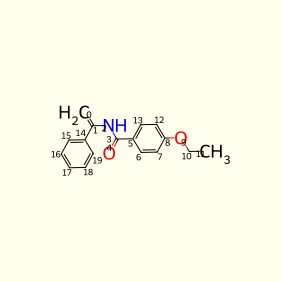 C=C(NC(=O)c1ccc(OCC)cc1)c1ccccc1